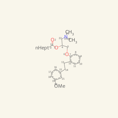 CCCCCCCC(=O)OC(COc1ccccc1CCc1cccc(OC)c1)CN(C)C